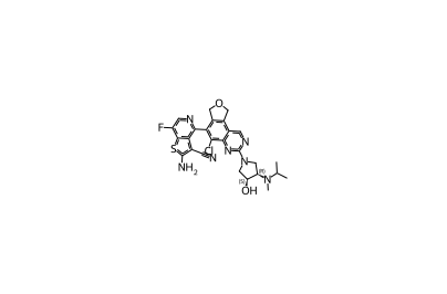 CC(C)N(C)[C@@H]1CN(c2ncc3c4c(c(-c5ncc(F)c6sc(N)c(C#N)c56)c(Cl)c3n2)COC4)C[C@@H]1O